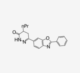 CCCC1CC(c2ccc3nc(-c4ccccc4)oc3c2)=NNC1=O